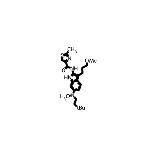 COCCCc1c(NC(=O)c2csc(C)n2)[nH]c2cc(N(C)CCC(C)(C)C)ccc12